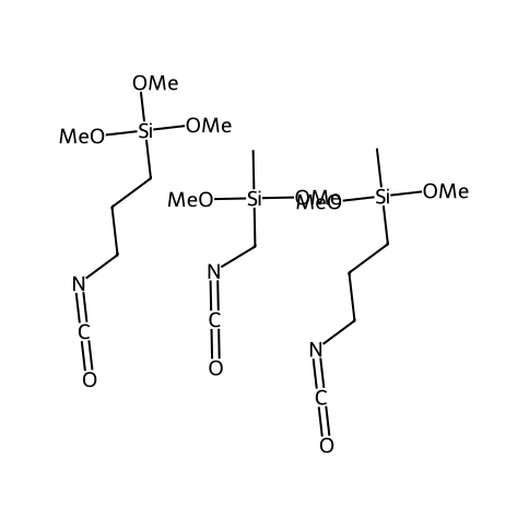 CO[Si](C)(CCCN=C=O)OC.CO[Si](C)(CN=C=O)OC.CO[Si](CCCN=C=O)(OC)OC